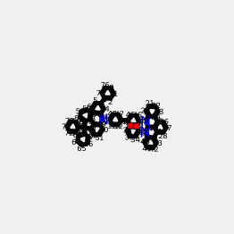 c1ccc(-c2cccc(N(c3ccc(-c4ccc(N5c6ccccc6-c6cccc7c6C5N(c5ccccc5)c5ccccc5-7)cc4)cc3)c3cccc4c3-c3ccccc3C4(c3ccccc3)c3ccccc3)c2)cc1